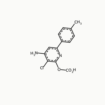 Cc1ccc(-c2cc(N)c(Cl)c(OC(=O)O)n2)cc1